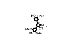 COc1cc(-c2cc(-c3cc(OC)c(O)c(OC)c3)c(C#N)c(N)n2)ccc1O